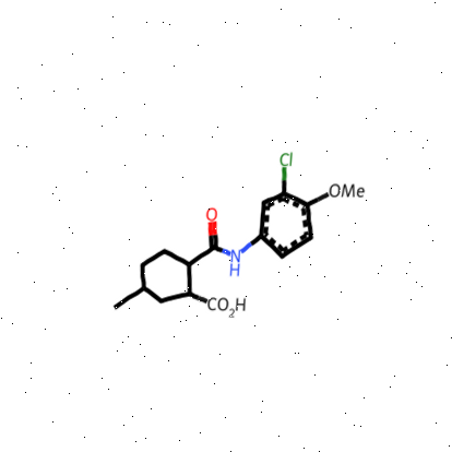 COc1ccc(NC(=O)C2CCC(C)CC2C(=O)O)cc1Cl